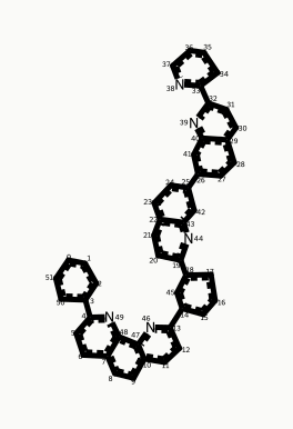 c1ccc(-c2ccc3ccc4ccc(-c5cccc(-c6ccc7ccc(-c8ccc9ccc(-c%10ccccn%10)nc9c8)cc7n6)c5)nc4c3n2)cc1